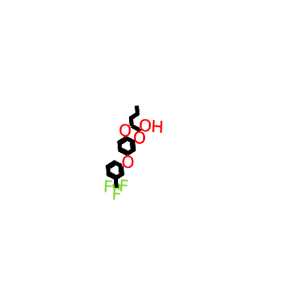 CCCC(Oc1ccc(Oc2cccc(C(F)(F)F)c2)cc1)C(=O)O